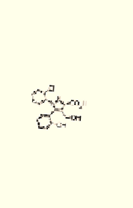 O=C(O)c1nn(-c2ccccc2Cl)c(-c2ccccc2O)c1CO